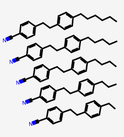 CCCCCCc1ccc(CCc2ccc(C#N)cc2)cc1.CCCCCc1ccc(CCc2ccc(C#N)cc2)cc1.CCCCc1ccc(CCc2ccc(C#N)cc2)cc1.CCCc1ccc(CCc2ccc(C#N)cc2)cc1.CCc1ccc(CCc2ccc(C#N)cc2)cc1